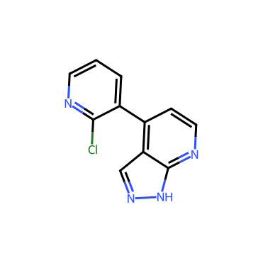 Clc1ncccc1-c1ccnc2[nH]ncc12